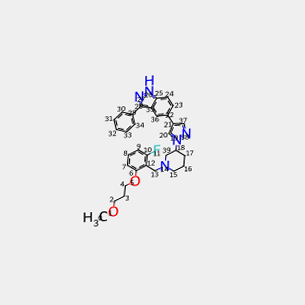 COCCCOc1cccc(F)c1CN1CCCC(n2cc(-c3ccc4[nH]nc(-c5ccccc5)c4c3)cn2)C1